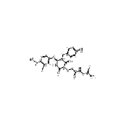 CC(C)Oc1ccc(/N=c2\[nH]c(=O)n(CCC(=O)NCC(N)=O)c(=O)n2Cc2ccc(Cl)cc2)cc1F